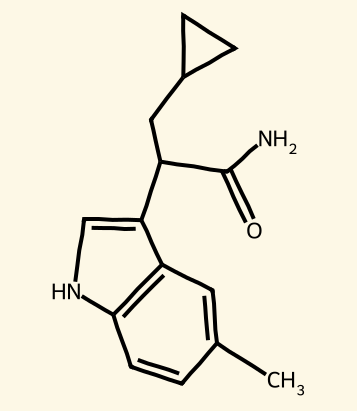 Cc1ccc2[nH]cc(C(CC3CC3)C(N)=O)c2c1